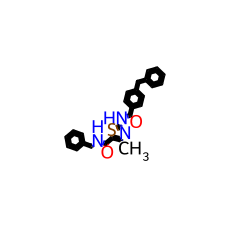 Cc1nc(NC(=O)c2ccc(Cc3ccccc3)cc2)sc1C(=O)NCc1ccccc1